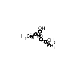 COc1ccc([C@H]2CC[C@H](CN(c3cccc(-c4ncc(C)s4)c3)C(=O)[C@H]3CC[C@H](O)CC3)CC2)cc1C